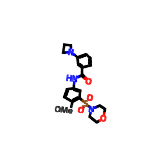 COc1ccc(NC(=O)c2cccc(N3CCC3)c2)cc1S(=O)(=O)N1CCOCC1